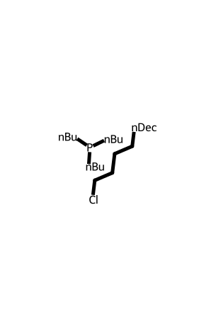 CCCCCCCCCCCCCCCl.CCCCP(CCCC)CCCC